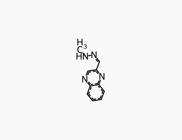 CN/N=C\c1cnc2ccccc2n1